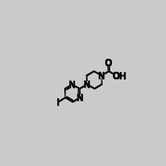 O=C(O)N1CCN(c2ncc(I)cn2)CC1